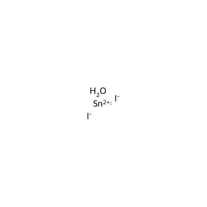 O.[I-].[I-].[Sn+2]